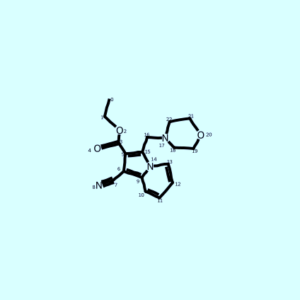 CCOC(=O)c1c(C#N)c2ccccn2c1CN1CCOCC1